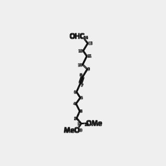 COC(CCCCCC#CCCCCCC=O)OC